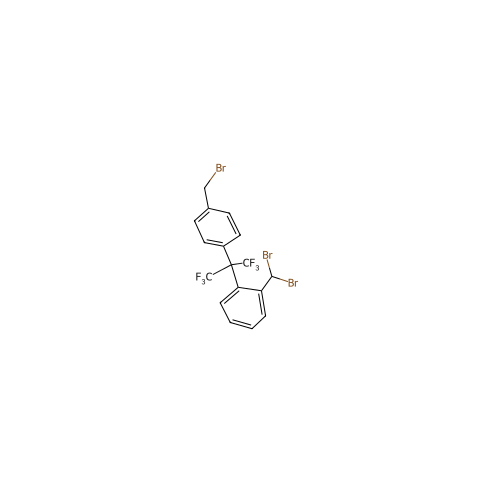 FC(F)(F)C(c1ccc(CBr)cc1)(c1ccccc1C(Br)Br)C(F)(F)F